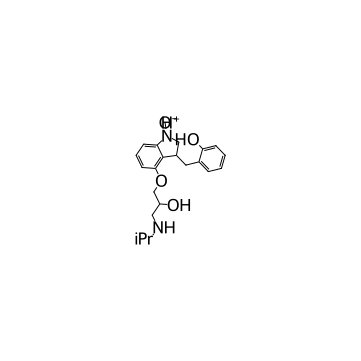 CC(C)NCC(O)COc1cccc2c1C(Cc1ccccc1O)C[NH+]2[O-]